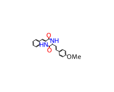 COc1ccc(C=CC2NC(=O)C(=Cc3ccccc3)NC2=O)cc1